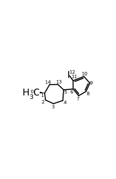 C[C@@H]1CCCC(c2ccccc2I)CC1